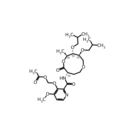 COc1ccnc(C(=O)N[C@H]2CCOC[C@H](OCC(C)C)[C@@H](OCC(C)C)[C@H](C)OC2=O)c1OCOC(C)=O